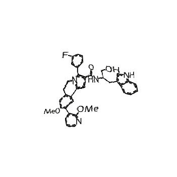 COc1cc2c(cc1-c1cccnc1OC)-c1cc(C(=O)N[C@@H](CO)Cc3c[nH]c4ccccc34)c(-c3cccc(F)c3)n1CC2